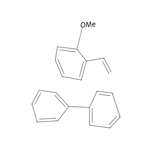 C=Cc1ccccc1OC.c1ccc(-c2ccccc2)cc1